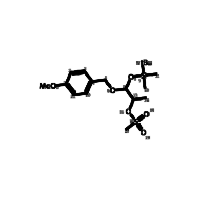 COc1ccc(COC(O[Si](C)(C)C(C)(C)C)C(C)OS(C)(=O)=O)cc1